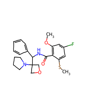 COc1cc(F)cc(SC)c1C(=O)NC(c1ccccc1)C1(N2CCCC2)COC1